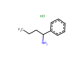 Cl.NC(CCC(F)(F)F)c1ccccc1